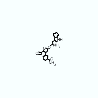 NC(=O)c1cccc(-c2cc(OC[C@@H](N)Cc3c[nH]c4ccccc34)cnc2-c2ccoc2)c1